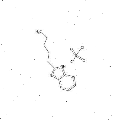 CCCCCc1nc2ccccc2[nH]1.O=S(=O)(Cl)Cl